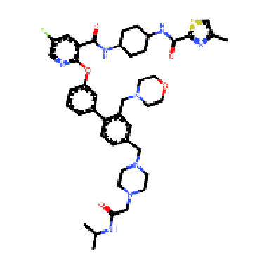 Cc1csc(C(=O)NC2CCC(NC(=O)c3cc(F)cnc3Oc3cccc(-c4ccc(CN5CCN(CC(=O)NC(C)C)CC5)cc4CN4CCOCC4)c3)CC2)n1